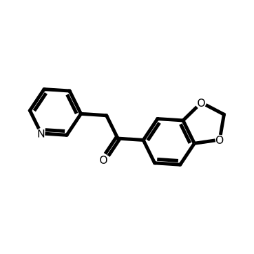 O=C(Cc1cccnc1)c1ccc2c(c1)OCO2